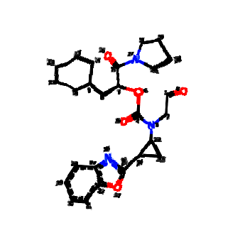 O=CCN(C(=O)O[C@@H](CC1CCCCC1)C(=O)N1CCCC1)C1CC1c1nc2ccccc2o1